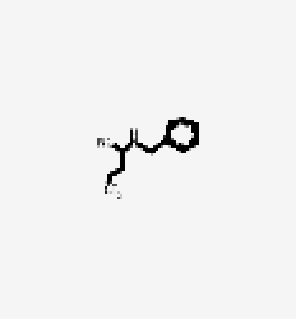 N#CC(CCC(F)(F)F)NCc1ccccc1